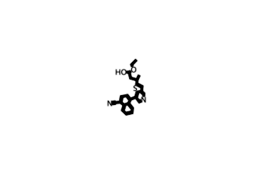 CCOC(O)CC(C)c1cc2cncc(-c3ccc(C#N)c4ccccc34)c2s1